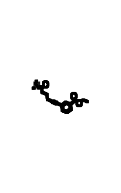 CCOC(=O)c1cccc(C#CCCCC(=O)N(C)C)c1